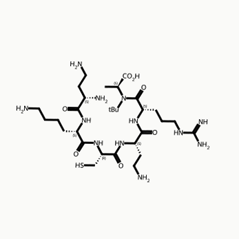 C[C@@H](C(=O)O)N(C(=O)[C@H](CCCNC(=N)N)NC(=O)[C@H](CCN)NC(=O)[C@H](CS)NC(=O)[C@H](CCCCN)NC(=O)[C@@H](N)CCN)C(C)(C)C